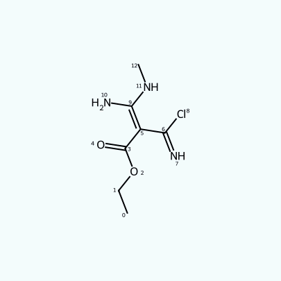 CCOC(=O)/C(C(=N)Cl)=C(\N)NC